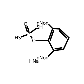 CCCCCCCCCc1cccc(CCCCCCCCC)c1OP(=O)(S)S.[NaH]